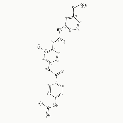 N=C(N)Nc1ccc(C(=O)Oc2ccc(CC(=O)Nc3cccc(CC(=O)O)c3)c(Cl)c2)cc1